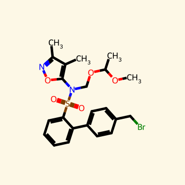 COC(C)OCN(c1onc(C)c1C)S(=O)(=O)c1ccccc1-c1ccc(CBr)cc1